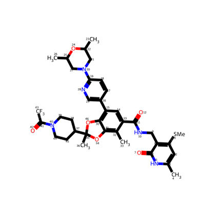 CSc1cc(C)[nH]c(=O)c1CNC(=O)c1cc(-c2ccc(N3CC(C)OC(C)C3)nc2)c2c(c1C)OC(C)(C1CCN(C(=O)C(F)(F)F)CC1)O2